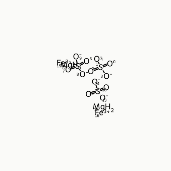 O=S(=O)([O-])[O-].O=S(=O)([O-])[O-].O=S(=O)([O-])[O-].[Fe+3].[Fe+3].[MgH2].[MgH2]